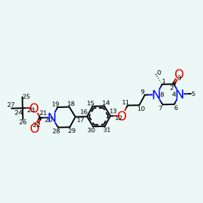 C[C@@H]1C(=O)N(C)CCN1CCCOc1ccc(C2CCN(C(=O)OC(C)(C)C)CC2)cc1